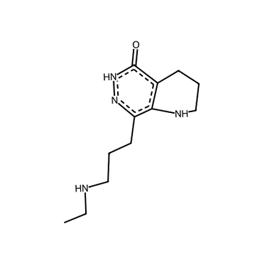 CCNCCCc1n[nH]c(=O)c2c1NCCC2